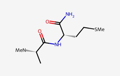 CN[C@@H](C)C(=O)N[C@@H](CCSC)C(N)=O